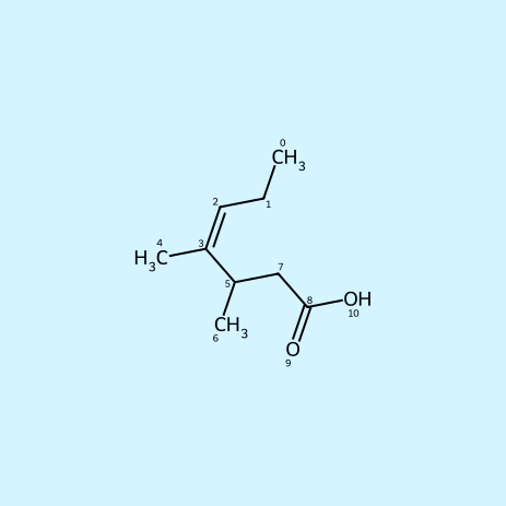 CCC=C(C)C(C)CC(=O)O